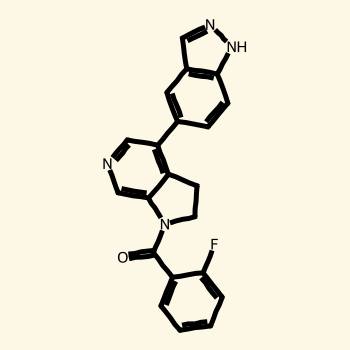 O=C(c1ccccc1F)N1CCc2c(-c3ccc4[nH]ncc4c3)cncc21